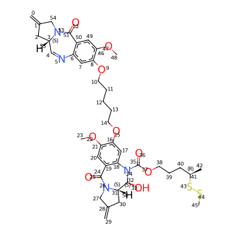 C=C1C[C@H]2C=Nc3cc(OCCCCCOc4cc5c(cc4OC)C(=O)N4CC(=C)C[C@H]4[C@H](O)N5C(=O)OCCC[C@@H](C)SSC)c(OC)cc3C(=O)N2C1